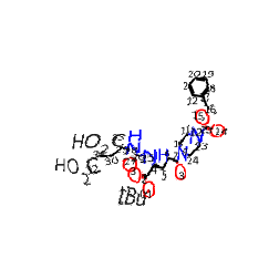 CC(C)(C)OC(=O)C(CCC(=O)N1CCN(C(=O)OCc2ccccc2)CC1)NC(=O)NC(CCC(=O)O)C(=O)O